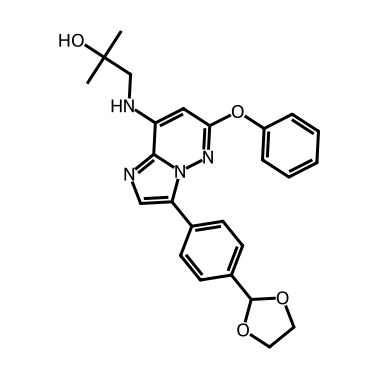 CC(C)(O)CNc1cc(Oc2ccccc2)nn2c(-c3ccc(C4OCCO4)cc3)cnc12